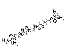 C=C(C)C(=O)OCCCOC(=O)CC(=O)NCCNC(=O)CC(=O)OCCCOC(=O)C(=C)C